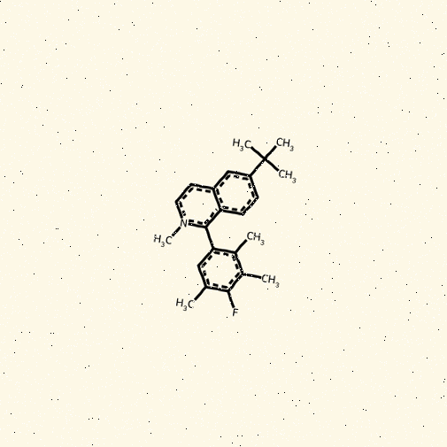 Cc1cc(-c2c3ccc(C(C)(C)C)cc3cc[n+]2C)c(C)c(C)c1F